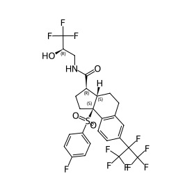 O=C(NC[C@@H](O)C(F)(F)F)[C@@H]1CC[C@@]2(S(=O)(=O)c3ccc(F)cc3)c3ccc(C(F)(C(F)(F)F)C(F)(F)F)cc3CC[C@@H]12